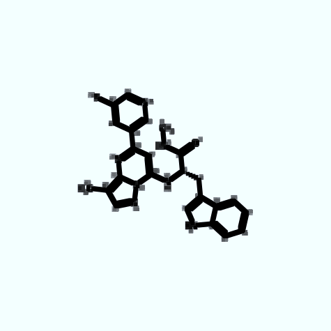 CNC(=O)[C@H](Cc1c[nH]c2ccccc12)Nc1cc(-c2cncc(F)c2)nc2c(C)cnn12